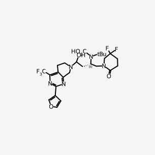 CC(C)(C)N(C(=O)O)[C@@H](CC(O)N1CCc2c(nc(-c3ccoc3)nc2C(F)(F)F)C1)CN1CC(F)(F)CCC1=O